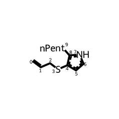 C=CCSc1cc[nH]c1CCCCC